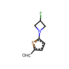 O=Cc1ccc(N2CC(F)C2)s1